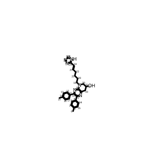 Cc1ccc(-c2nc3c(nc2-c2ccc(C)cc2)N(CCCCC=Cc2nnn[nH]2)CC(O)C3)cc1